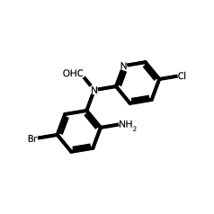 Nc1ccc(Br)cc1N(C=O)c1ccc(Cl)cn1